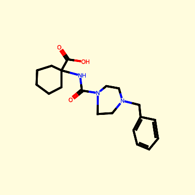 O=C(NC1(C(=O)O)CCCCC1)N1CCN(Cc2ccccc2)CC1